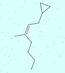 CCCCC(C)=CCC1CC1